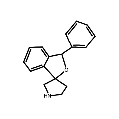 c1ccc(C2OC3(CCNC3)c3ccccc32)cc1